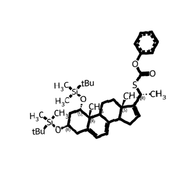 C[C@@H](SC(=O)Oc1ccccc1)C1=CCC2C3=CC=C4C[C@@H](O[Si](C)(C)C(C)(C)C)C[C@H](O[Si](C)(C)C(C)(C)C)[C@]4(C)C3CC[C@]12C